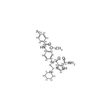 COc1cc(N(CCN2CCCCC2)C(=O)c2nc[nH]c2C(N)=O)ccc1NC(=O)c1ccc(F)cc1